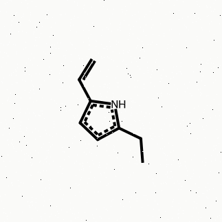 C=Cc1ccc(CC)[nH]1